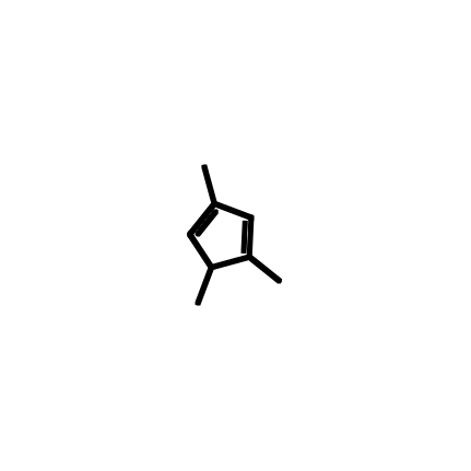 CC1=CC(C)C(C)=C1